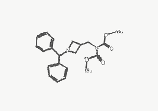 CC(C)(C)OC(=O)N(CC1CN(C(c2ccccc2)c2ccccc2)C1)C(=O)OC(C)(C)C